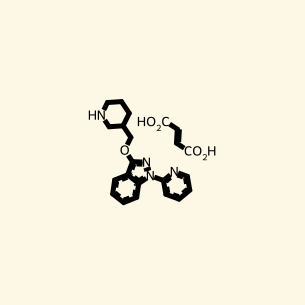 O=C(O)C=CC(=O)O.c1ccc(-n2nc(OCC3CCCNC3)c3ccccc32)nc1